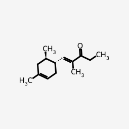 CCC(=O)/C(C)=C/[C@@H]1CC=C(C)C[C@H]1C